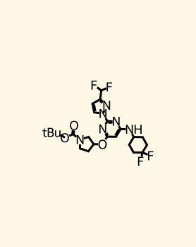 CC(C)(C)OC(=O)N1CCC(Oc2cc(NC3CCC(F)(F)CC3)nc(-n3ccc(C(F)F)n3)n2)C1